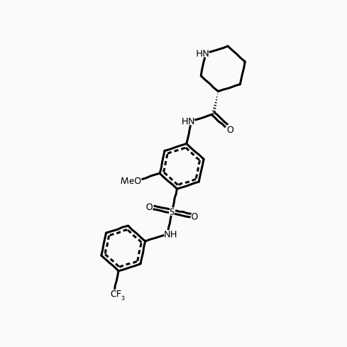 COc1cc(NC(=O)[C@H]2CCCNC2)ccc1S(=O)(=O)Nc1cccc(C(F)(F)F)c1